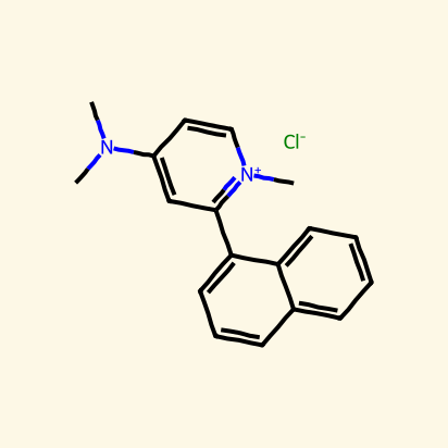 CN(C)c1cc[n+](C)c(-c2cccc3ccccc23)c1.[Cl-]